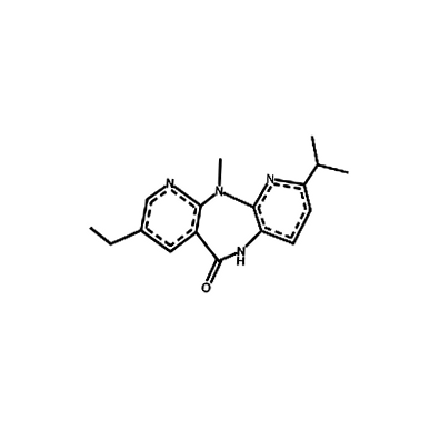 CCc1cnc2c(c1)C(=O)Nc1ccc(C(C)C)nc1N2C